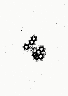 c1ccc2cc3c(cc2c1)c1ccccc1n3-c1nc(-c2cccc3oc4ccc5ccccc5c4c23)c2ccccc2n1